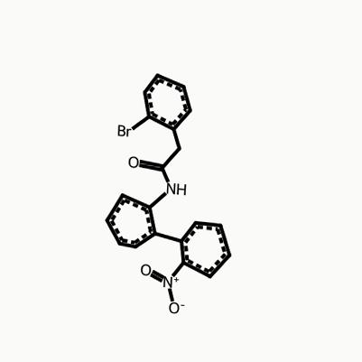 O=C(Cc1ccccc1Br)Nc1ccccc1-c1ccccc1[N+](=O)[O-]